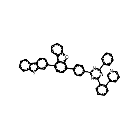 c1ccc(-c2nc(-c3ccc(-c4ccc(-c5ccc6c(c5)sc5ccccc56)c5c4oc4ccccc45)cc3)nc(-c3ccccc3-c3cccnc3)n2)cc1